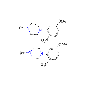 COc1ccc([N+](=O)[O-])c(N2CCN(C(C)C)CC2)c1.COc1ccc([N+](=O)[O-])c(N2CCN(C(C)C)CC2)c1